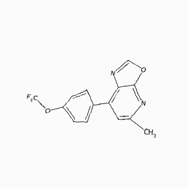 Cc1cc(-c2ccc(OC(F)(F)F)cc2)c2ncoc2n1